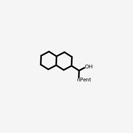 CCCCCC(O)C1CCC2CCCCC2C1